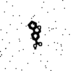 COC(=O)c1ccc2c(c1)COc1ccccc1-2